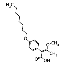 CCCCCCCCOc1ccc(/C(C(=O)O)=C(/C)OC)cc1